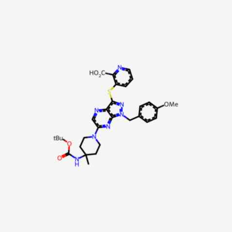 COc1ccc(Cn2nc(Sc3cccnc3C(=O)O)c3ncc(N4CCC(C)(NC(=O)OC(C)(C)C)CC4)nc32)cc1